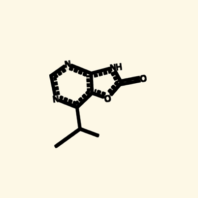 CC(C)c1ncnc2[nH]c(=O)oc12